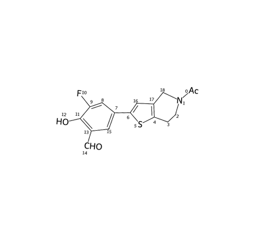 CC(=O)N1CCc2sc(-c3cc(F)c(O)c(C=O)c3)cc2C1